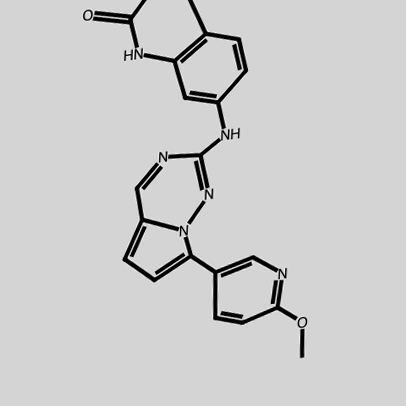 COc1ccc(-c2ccc3cnc(Nc4ccc5c(c4)NC(=O)CC5)nn23)cn1